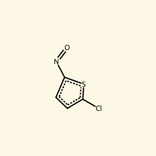 O=Nc1ccc(Cl)s1